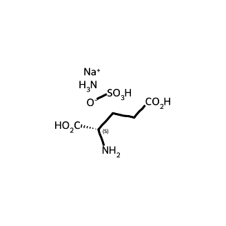 N.N[C@@H](CCC(=O)O)C(=O)O.O=S(=O)([O-])O.[Na+]